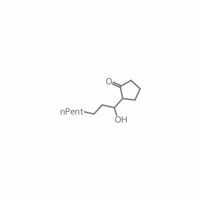 CCCCCCCC(O)C1CCCC1=O